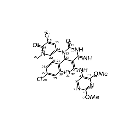 COc1ncc(N/C(=C2\C(=N)NC(=O)N(c3cc(Cl)c(=O)n(C)c3)C2c2ccc(Cl)cc2C)C(C)C)c(OC)n1